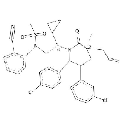 C=CC[C@@]1(C)CC(c2cccc(Cl)c2)C(c2ccc(Cl)cc2)N([C@H](CN(c2ccccc2C#N)S(C)(=O)=O)C2CC2)C1=O